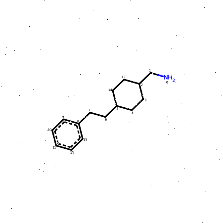 NCC1CCC(CCc2ccccc2)CC1